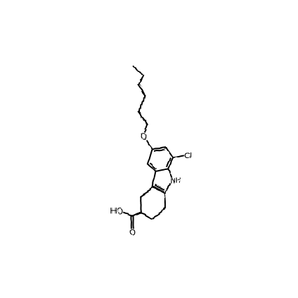 CCCCCCOc1cc(Cl)c2[nH]c3c(c2c1)CC(C(=O)O)CC3